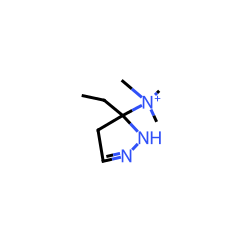 CCC1([N+](C)(C)C)CC=NN1